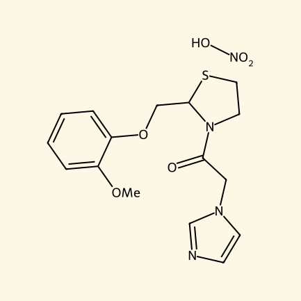 COc1ccccc1OCC1SCCN1C(=O)Cn1ccnc1.O=[N+]([O-])O